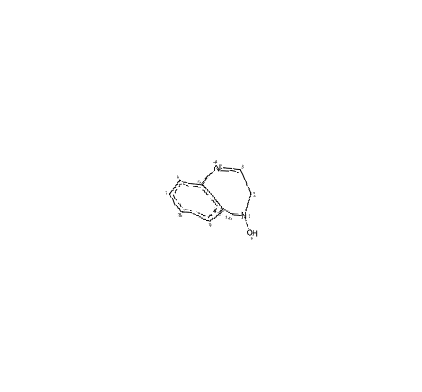 ON1CC=Nc2ccccc21